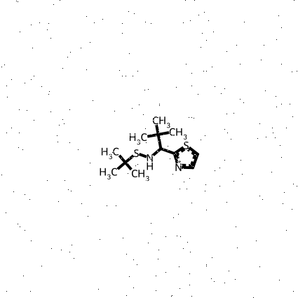 CC(C)(C)SNC(c1nccs1)C(C)(C)C